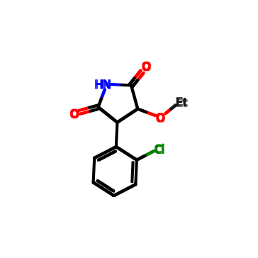 CCOC1C(=O)NC(=O)C1c1ccccc1Cl